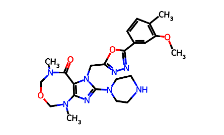 COc1cc(-c2nnc(Cn3c(N4CCNCC4)nc4c3C(=O)N(C)COCN4C)o2)ccc1C